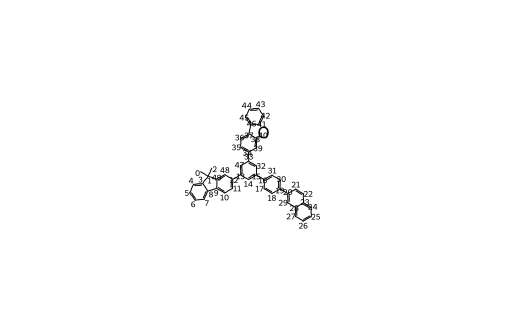 CC1(C)c2ccccc2-c2ccc(-c3cc(-c4ccc(-c5ccc6ccccc6c5)cc4)cc(-c4ccc5c(c4)oc4ccccc45)c3)cc21